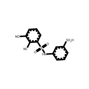 N#Cc1cccc(S(=O)(=O)Nc2cccc(S(=O)(=O)O)c2)c1C#N